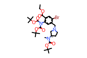 CCOC(=O)c1cc(Br)c(CN2CC[C@@H](N(C)C(=O)OC(C)(C)C)C2)cc1N(C(=O)OC(C)(C)C)C(=O)OC(C)(C)C